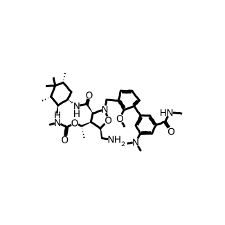 CNC(=O)O[C@@H](C)[C@@H]1[C@H](CN)ON(Cc2cccc(-c3cc(C(=O)NC)cc(N(C)C)c3)c2OC)[C@@H]1C(=O)N[C@H]1C[C@@H](C)C(C)(C)[C@@H](C)[C@@H]1C